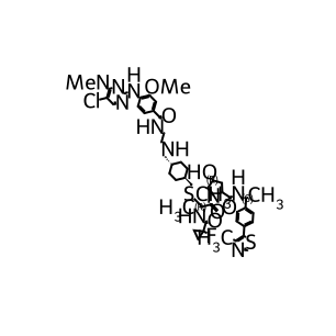 CNc1nc(Nc2ccc(C(=O)NCCNC[C@H]3CC[C@H](CSC(C)(C)[C@H](NC(=O)C4(F)CC4)C(=O)N4C[C@H](O)CC4C(=O)N[C@@H](C)c4ccc(-c5scnc5C)cc4)CC3)cc2OC)ncc1Cl